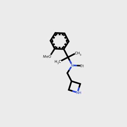 CCN(CC1CNC1)C(C)(C)c1ccccc1OC